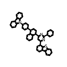 c1ccc(-c2nc(-c3ccc(-c4ccc(-n5c6ccccc6c6ccccc65)cc4)c4ccccc34)cc(-c3cccc4c3sc3ccccc34)n2)cc1